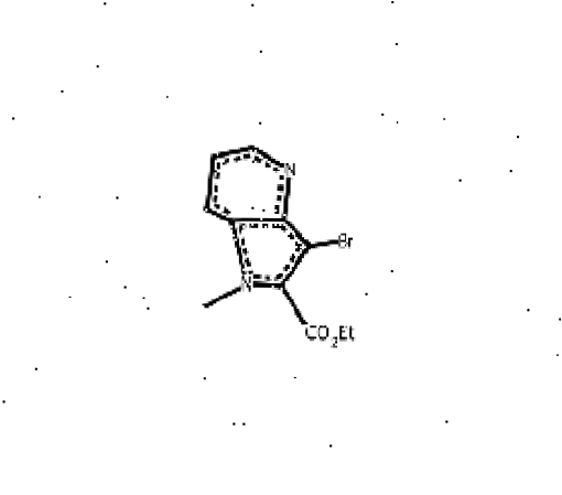 CCOC(=O)c1c(Br)c2ncccc2n1C